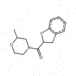 CC1CN(C(=O)C2Cc3ccccc3S2)CCO1